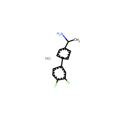 CC(N)c1ccc(-c2ccc(F)c(F)c2)cc1.Cl